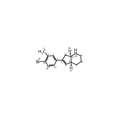 Cc1cc(C2=C[C@H]3CCCN[C@H]3C2)cnc1Br